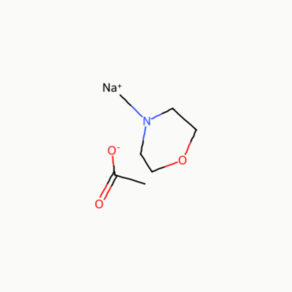 CC(=O)[O-].CN1CCOCC1.[Na+]